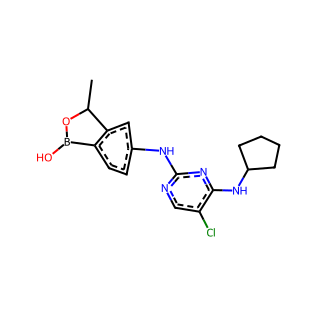 CC1OB(O)c2ccc(Nc3ncc(Cl)c(NC4CCCC4)n3)cc21